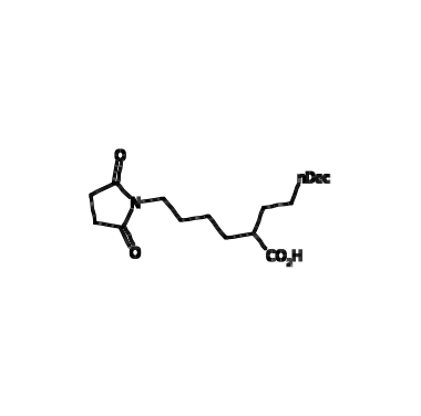 CCCCCCCCCCCCC(CCCCN1C(=O)CCC1=O)C(=O)O